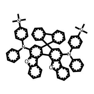 C[Si](C)(C)c1ccc(N(c2ccccc2)c2cc3c(c4c2oc2ccccc24)-c2c(cc(N(c4ccccc4)c4ccc([Si](C)(C)C)cc4)c4c2oc2ccccc24)C32c3ccccc3-c3ccccc32)cc1